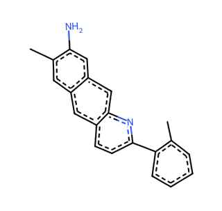 Cc1cc2cc3ccc(-c4ccccc4C)nc3cc2cc1N